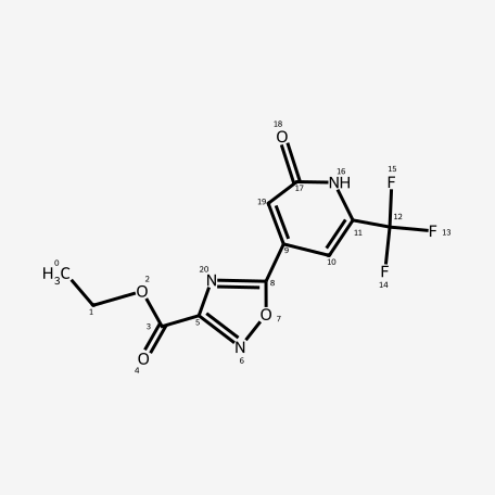 CCOC(=O)c1noc(-c2cc(C(F)(F)F)[nH]c(=O)c2)n1